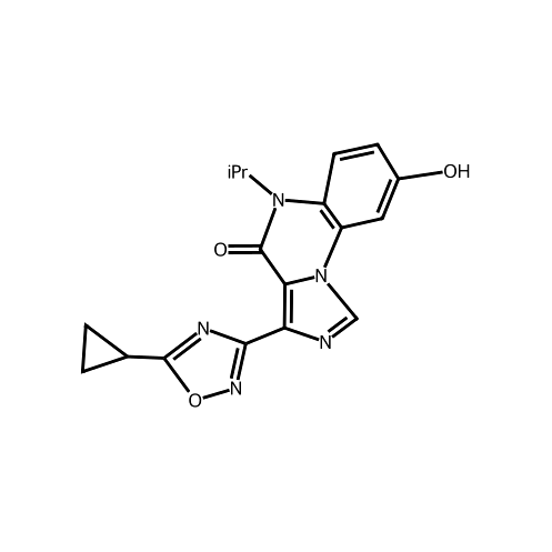 CC(C)n1c(=O)c2c(-c3noc(C4CC4)n3)ncn2c2cc(O)ccc21